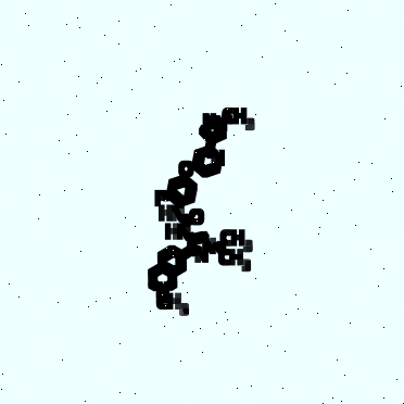 CC(C)n1cc(NC(=O)Nc2ccc(Oc3ccnc(-c4cnn(C)c4)c3)cc2F)c(-c2ccc3c(c2)CN(C)CC3)n1